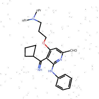 CCCN(CCC)CCCOc1cc(C=O)nc(Nc2ccccc2)c1C(=N)C1CCC1